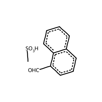 CS(=O)(=O)O.O=Cc1cccc2ccccc12